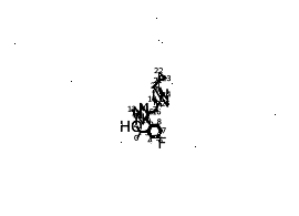 C[C@@H](O)c1cc(F)ccc1-c1nn(C)nc1Cc1cn(CC2CC2)nn1